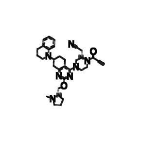 C#CC(=O)N1CCN(c2nc(OC[C@@H]3CCCN3C)nc3c2CCC(N2CCCc4ccccc42)C3)C[C@@H]1CC#N